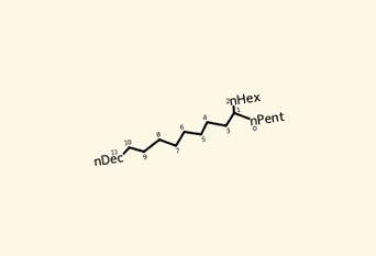 [CH2]CCCCC(CCCCCC)CCCCCCCCCCCCCCCCCC